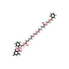 Cc1cc(C)c(C(=O)P(=O)(OCCOC(=O)CCSCCOCCOCCSCCC(=O)OCCOCc2ccccc2)c2ccccc2)c(C)c1